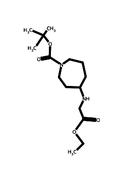 CCOC(=O)CNC1CCCN(C(=O)OC(C)(C)C)CC1